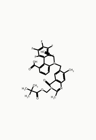 C#CCN(Cc1cc2c(=O)n(COC(=O)C(C)(C)C)c(C)nc2cc1C)c1cccc(C(=O)O)c1-c1c(F)c(F)c(F)c(F)c1F